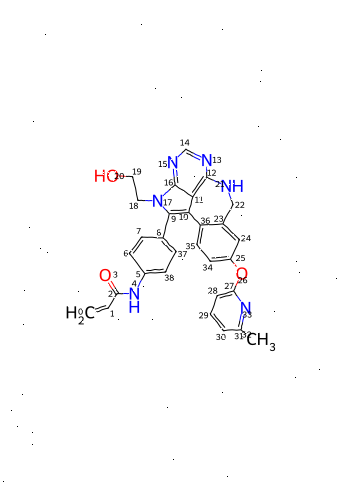 C=CC(=O)Nc1ccc(-c2c3c4c(ncnc4n2CCO)NCc2cc(Oc4cccc(C)n4)ccc2-3)cc1